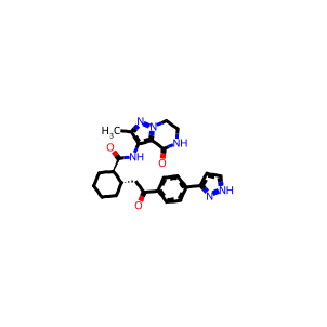 Cc1nn2c(c1NC(=O)[C@@H]1CCCC[C@H]1CC(=O)c1ccc(-c3cc[nH]n3)cc1)C(=O)NCC2